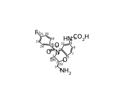 C[C@@H]1[C@H](CN)Oc2ccc(NC(=O)O)cc2N1S(=O)(=O)c1ccc(F)cc1